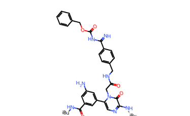 CC[C@H](C)NC(=O)c1cc(N)cc(-c2cnc(N[C@@H](C)CC)c(=O)n2CC(=O)NCc2ccc(C(=N)NC(=O)OCc3ccccc3)cc2)c1